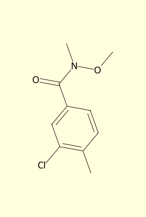 CON(C)C(=O)c1ccc(C)c(Cl)c1